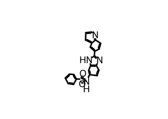 O=S(=O)(Nc1ccc2nc(-c3ccc4ncccc4c3)[nH]c2c1)c1ccccc1